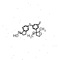 COC1(c2cc(F)cc(Sc3ccc4c(c3)CC/C4=N\O)c2)CCOC1C